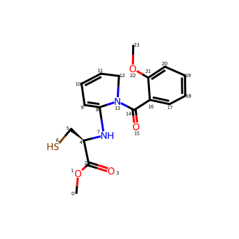 COC(=O)[C@@H](CS)NC1=CC=CCN1C(=O)c1ccccc1OC